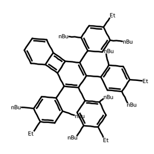 CCCCc1cc(-c2c(-c3cc(CCCC)c(CC)cc3CCCC)c(-c3cc(CCCC)c(CC)cc3CCCC)c3c(c2-c2cc(CCCC)c(CC)cc2CCCC)=c2ccccc2=3)c(CCCC)cc1CC